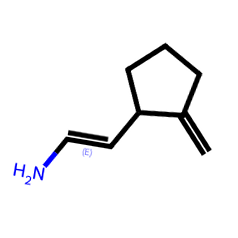 C=C1CCCC1/C=C/N